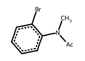 CC(=O)N(C)c1ccccc1Br